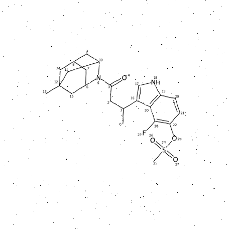 CC(CC(=O)N1C2CC3CC1CC(C)(C3)C2)c1c[nH]c2ccc(OS(C)(=O)=O)c(F)c12